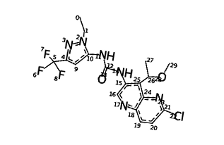 CCn1nc(C(F)(F)F)cc1NC(=O)Nc1cnc2ccc(Cl)nc2c1C(C)OC